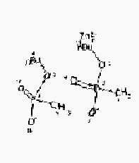 CCCCOP(C)(=O)[O-].CCCCOP(C)(=O)[O-].[Zn+2]